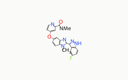 CNC(=O)c1cc(Oc2ccc3c(c2)nc(-c2n[nH]c4ccc(F)cc24)n3C)ccn1